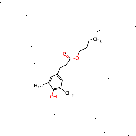 CCCCOC(=O)CCc1cc(C)c(O)c(C)c1